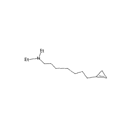 CCN(CC)CCCCCCCC1=CC1